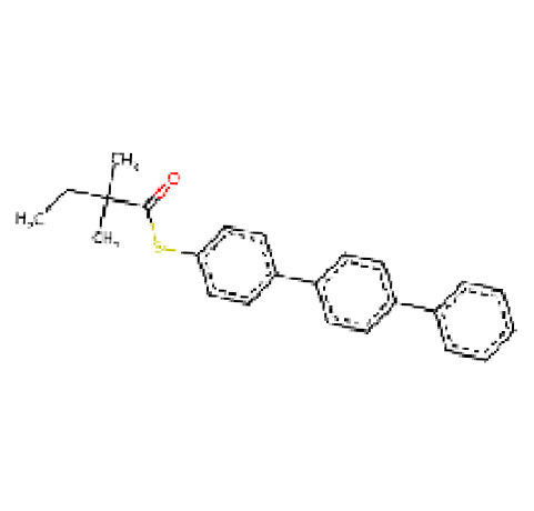 CCC(C)(C)C(=O)Sc1ccc(-c2ccc(-c3ccccc3)cc2)cc1